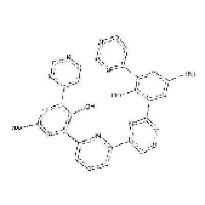 CC(C)(C)c1cc(-c2ccncn2)c(O)c(-c2cccc(-c3cccc(-c4cc(C(C)(C)C)cc(-c5ccncn5)c4O)n3)n2)c1